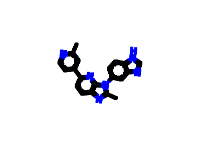 Cc1cc(-c2ccc3nc(C)n(-c4ccc5[nH]cnc5c4)c3n2)ccn1